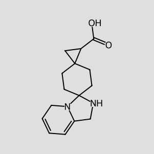 O=C(O)C1CC12CCC1(CC2)NCC2=CC=CCN21